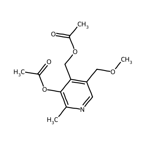 COCc1cnc(C)c(OC(C)=O)c1COC(C)=O